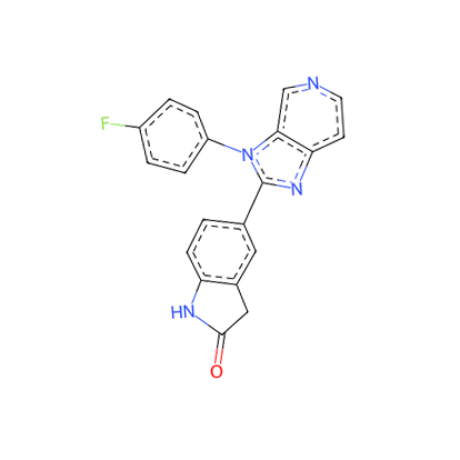 O=C1Cc2cc(-c3nc4ccncc4n3-c3ccc(F)cc3)ccc2N1